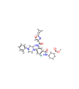 COC(=O)[C@@H]1CCC[C@H](NC(=O)c2cc(NC(=O)c3coc(C4CC4)n3)c(N3CCN(c4ccccc4C)CC3)cc2F)C1